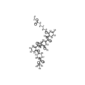 CCOC(=O)CCCCCOc1cc(C)ccc1N(C)C(=O)c1ccc(NC(=O)c2ccccc2OC2CCN(C(=O)OC(C)(C)C)CC2)c(OC)c1